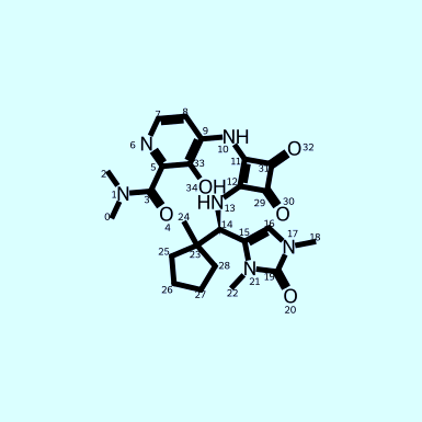 CN(C)C(=O)c1nccc(Nc2c(N[C@@H](c3cn(C)c(=O)n3C)C3(C)CCCC3)c(=O)c2=O)c1O